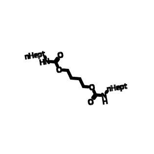 CCCCCCCNC(=O)OCCCCOC(=O)NCCCCCCC